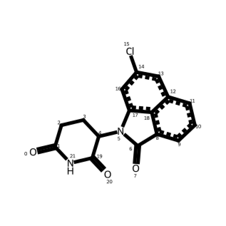 O=C1CCC(N2C(=O)c3cccc4cc(Cl)cc2c34)C(=O)N1